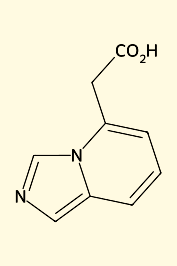 O=C(O)Cc1cccc2cncn12